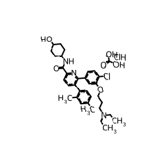 CCN(CC)CCCOc1cc(-c2nc(C(=O)NC3CCC(O)CC3)ccc2-c2ccc(C)cc2C)ccc1Cl.Cl.O=C(O)O